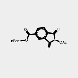 CCCCCOC(=O)c1ccc2c(c1)C(=O)N(OC(C)=O)C2=O